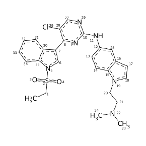 CCS(=O)(=O)n1cc(-c2nc(Nc3ccc4c(ccn4CCN(C)C)c3)ncc2Cl)c2ccccc21